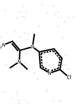 CN(C)C(=C[N+](=O)[O-])N(C)c1ccc(Cl)nc1